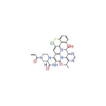 C=CC(=O)N1CCN2c3c(c(=O)n(-c4c(C(C)C)ncnc4C(C)C)c4nc(-c5c(O)cccc5F)c(Cl)cc34)NC(=O)[C@H]2C1